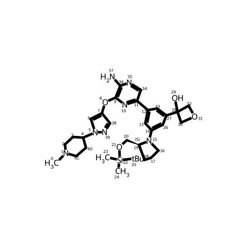 CN1CCC(n2cc(Oc3nc(-c4cc(N5CCC[C@H]5CO[Si](C)(C)C(C)(C)C)cc(C5(O)COC5)c4)cnc3N)cn2)CC1